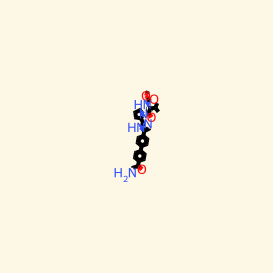 COC(=O)N[C@H](C(=O)N1CCCC1c1ncc(-c2ccc(-c3ccc(C(=O)CN)cc3)cc2)[nH]1)C(C)C